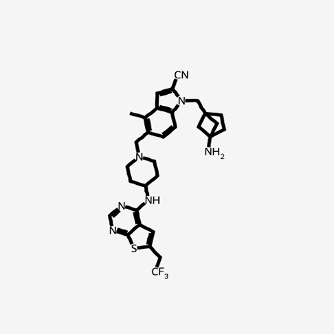 Cc1c(CN2CCC(Nc3ncnc4sc(CC(F)(F)F)cc34)CC2)ccc2c1cc(C#N)n2CC12CCC(N)(C1)C2